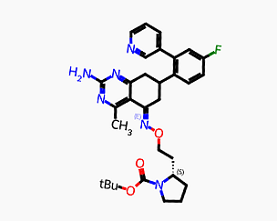 Cc1nc(N)nc2c1/C(=N/OCC[C@@H]1CCCN1C(=O)OC(C)(C)C)CC(c1ccc(F)cc1-c1cccnc1)C2